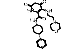 O=C1CC(=O)C(NCCN2CCOCC2)=C(C(=O)N[C@H]2CC[C@@H](c3ccccc3)CC2)N1